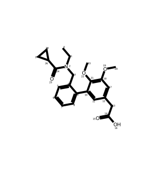 CCN(Cc1ccccc1-c1cc(CC(=O)O)cc(OC)c1OC)C(=O)C1CC1